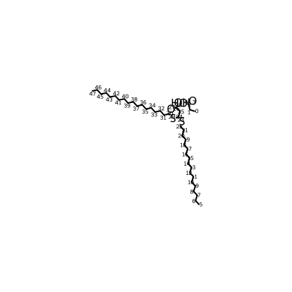 CCC(=O)O.CCCCCCCCCCCCCCCCCCSC(CC(=O)O)SCCCCCCCCCCCCCCCCCC